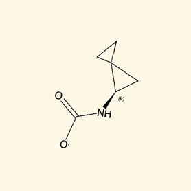 [O]C(=O)N[C@@H]1CC12CC2